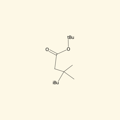 CCC(C)C(C)(C)CC(=O)OC(C)(C)C